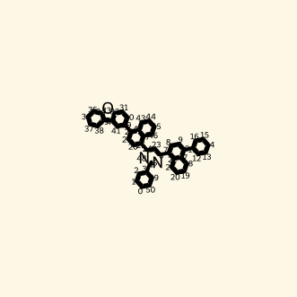 c1ccc(-c2nc(-c3ccc(-c4ccccc4)c4ccccc34)cc(-c3ccc(-c4ccc5oc6ccccc6c5c4)c4ccccc34)n2)cc1